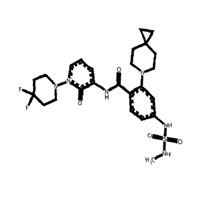 CNS(=O)(=O)Nc1ccc(C(=O)Nc2cccn(N3CCC(F)(F)CC3)c2=O)c(N2CCC3(CC2)CC3)c1